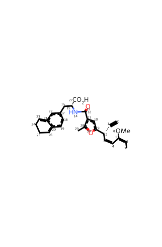 C#C[C@H](/C=C\C(=C/C)OC)c1cc(C(=O)N[C@H](Cc2ccc3c(c2)=CCCC=3)C(=O)O)c(C)o1